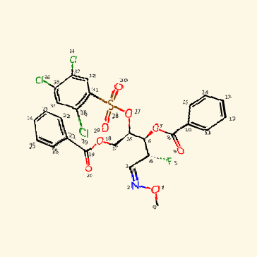 CO/N=C\[C@@H](F)[C@H](OC(=O)c1ccccc1)[C@@H](COC(=O)c1ccccc1)OS(=O)(=O)c1cc(Cl)c(Cl)cc1Cl